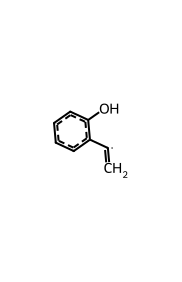 C=[C]c1ccccc1O